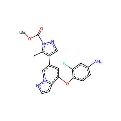 Cc1c(-c2cc(Oc3ccc(N)cc3F)c3ccnn3c2)cnn1C(=O)OC(C)(C)C